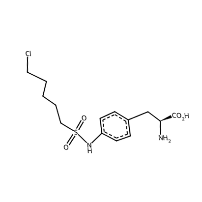 N[C@@H](Cc1ccc(NS(=O)(=O)CCCCCCl)cc1)C(=O)O